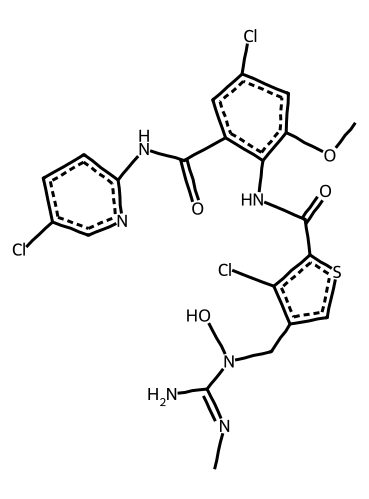 CN=C(N)N(O)Cc1csc(C(=O)Nc2c(OC)cc(Cl)cc2C(=O)Nc2ccc(Cl)cn2)c1Cl